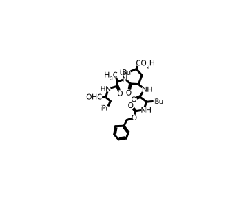 CCC(C)C(NC(=O)OCc1ccccc1)C(=O)NC(CC(C(=O)O)C(C)(C)C)C(=O)NC(C)C(=O)NC(C=O)CC(C)C